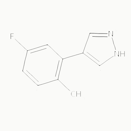 Cc1ccc(F)cc1-c1cn[nH]c1